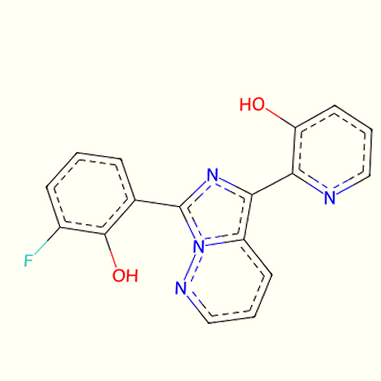 Oc1cccnc1-c1nc(-c2cccc(F)c2O)n2ncccc12